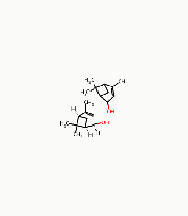 CC1=CC(O)C2CC1C2(C)C.CC1=C[C@@H](O)[C@@H]2C[C@H]1C2(C)C